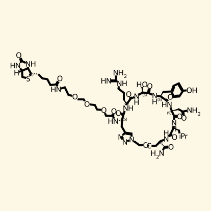 CC(C)C[C@@H]1NC(=O)[C@H](CC(N)=O)NC(=O)[C@H](Cc2ccc(O)cc2)NC(=O)[C@H](CO)NC(=O)[C@H](CCCNC(=N)N)NC(=O)[C@@H](NC(=O)COCCOCCOCCNC(=O)CCCC[C@@H]2SC[C@@H]3NC(=O)NC32)Cc2cn(nn2)CCCC[C@@H](C(N)=O)NC1=O